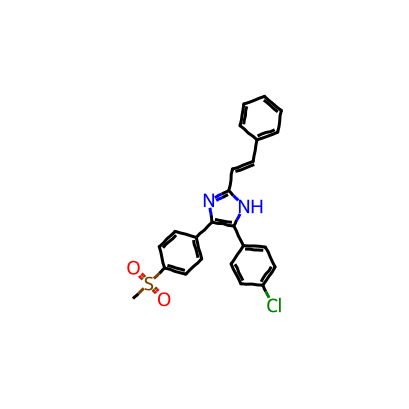 CS(=O)(=O)c1ccc(-c2nc(C=Cc3ccccc3)[nH]c2-c2ccc(Cl)cc2)cc1